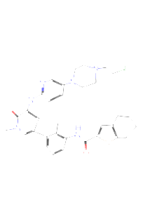 Cc1c(NC(=O)c2cc3c(s2)CCCC3)cccc1-c1cc(Nc2ccc(N3CCN(CCF)CC3)cn2)c(=O)n(C)c1